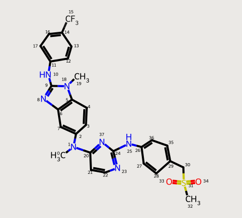 CN(c1ccc2c(c1)nc(Nc1ccc(C(F)(F)F)cc1)n2C)c1ccnc(Nc2ccc(CS(C)(=O)=O)cc2)n1